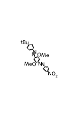 COc1cc(N=Nc2ccc(C(C)(C)C)cc2)c(OC)cc1N=Nc1ccc([N+](=O)[O-])cc1